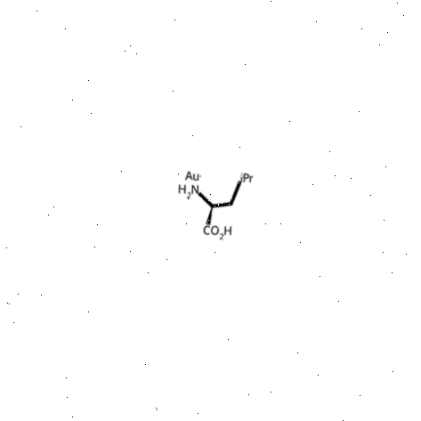 CC(C)C[C@H](N)C(=O)O.[Au]